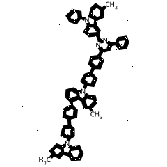 Cc1ccc2c(c1)c1ccccc1n2-c1ccc(-c2ccc(-c3cccc4c3c3cc(C)ccc3n4-c3ccc(-c4ccc(-c5cc(-c6ccccc6)nc(-c6ccc7c(c6)c6cc(C)ccc6n7-c6ccccc6)n5)cc4)cc3)cc2)cc1